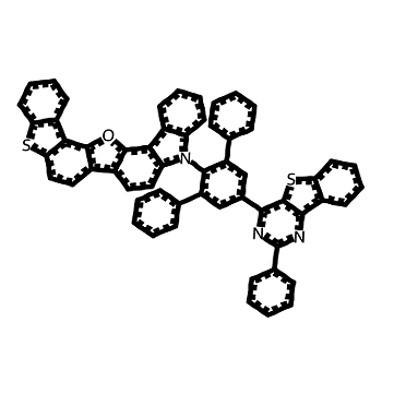 c1ccc(-c2nc(-c3cc(-c4ccccc4)c(-n4c5ccccc5c5c6oc7c(ccc8sc9ccccc9c87)c6ccc54)c(-c4ccccc4)c3)c3sc4ccccc4c3n2)cc1